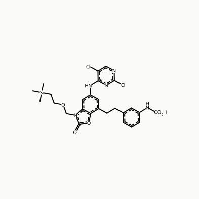 C[Si](C)(C)CCOCn1c(=O)oc2c(CCc3cccc(NC(=O)O)c3)cc(Nc3nc(Cl)ncc3Cl)cc21